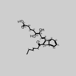 CCCCCC(=O)c1sc2ccccc2c1/C=C/C(O)C(O)CCCC(=O)O